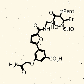 CCCCCC(C(=O)NCNC(=O)c1ccc(-c2cc(OCC(N)=O)cc(C(=O)O)c2)o1)C(CC)N(O)C=O